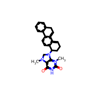 CN1CN(C2CCC=c3c2ccc2c3=CCc3ccccc3-2)c2c1c(=O)[nH]c(=O)n2C